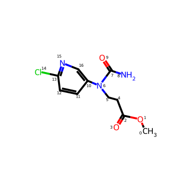 COC(=O)CCN(C(N)=O)c1ccc(Cl)nc1